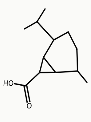 CC(C)C1CCC(C)C2C(C(=O)O)C12